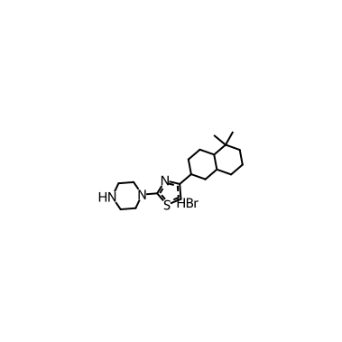 Br.CC1(C)CCCC2CC(c3csc(N4CCNCC4)n3)CCC21